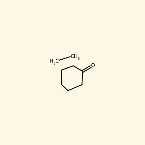 CC.O=C1CCCCC1